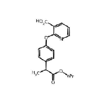 CCCOC(=O)C(C)c1ccc(Oc2ncccc2C(=O)O)cc1